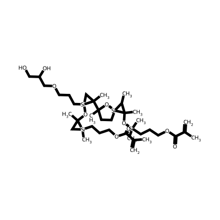 C=C(C)C(=O)OCCC[Si](C)(C)OC1(C)C(C)[Si]12CCC(C)(C1(C)C[Si]1(CCCOCC(O)CO)OC1(C)C[Si]1(C)CCCOC(=O)C(=C)C)O2